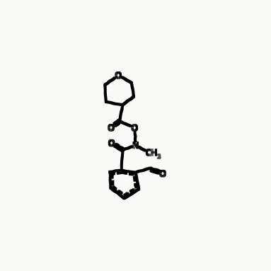 CN(OC(=O)C1CCOCC1)C(=O)c1ccccc1C=O